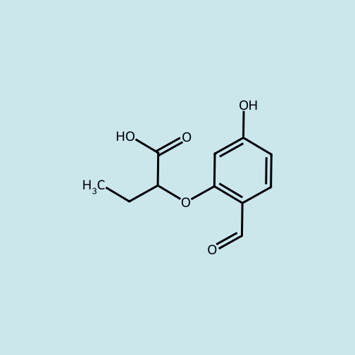 CCC(Oc1cc(O)ccc1C=O)C(=O)O